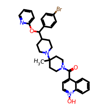 CC1(N2CCC(C(Oc3ccccn3)c3ccc(Br)cc3)CC2)CCN(C(=O)c2cc[n+](O)c3ccccc23)CC1